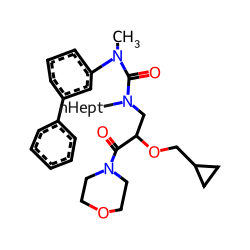 CCCCCCCN(CC(OCC1CC1)C(=O)N1CCOCC1)C(=O)N(C)c1cccc(-c2ccccc2)c1